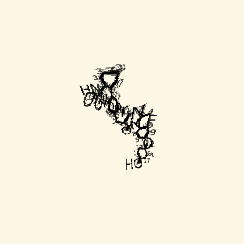 CCCc1nc(CF)n(-c2ccc(OC3CCC(O)CC3)cc2)c(=O)c1Cc1ccc(-c2ccccc2-c2noc(=O)[nH]2)cc1